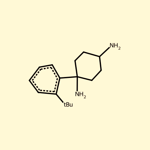 CC(C)(C)c1ccccc1C1(N)CCC(N)CC1